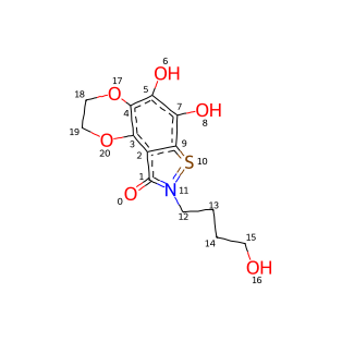 O=c1c2c3c(c(O)c(O)c2sn1CCCCO)OCCO3